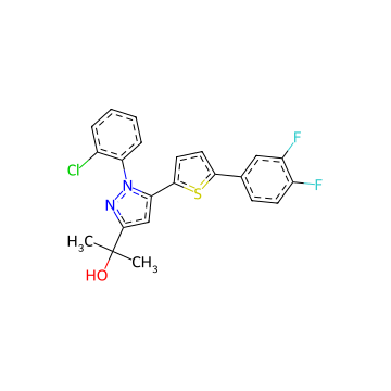 CC(C)(O)c1cc(-c2ccc(-c3ccc(F)c(F)c3)s2)n(-c2ccccc2Cl)n1